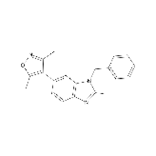 Cc1noc(C)c1-c1ccc2nc(C)n(Cc3ccccc3)c2c1